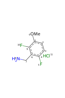 COc1ccc(F)c(CN)c1F.Cl